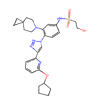 O=S(=O)(CCO)Nc1ccc(-n2cc(-c3cccc(OC4CCCC4)n3)nn2)c(N2CCC3(CC2)CC3)c1